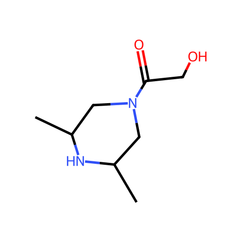 CC1CN(C(=O)CO)CC(C)N1